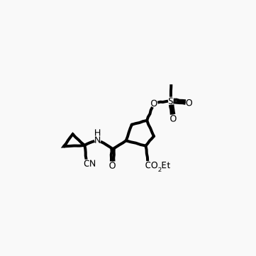 CCOC(=O)C1CC(OS(C)(=O)=O)CC1C(=O)NC1(C#N)CC1